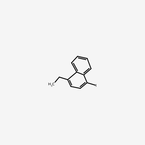 CCc1ccc(I)c2ccccc12